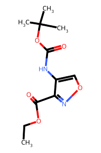 CCOC(=O)c1nocc1NC(=O)OC(C)(C)C